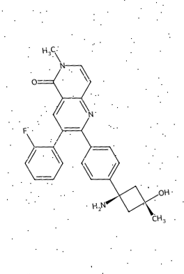 Cn1ccc2nc(-c3ccc([C@]4(N)C[C@](C)(O)C4)cc3)c(-c3ccccc3F)cc2c1=O